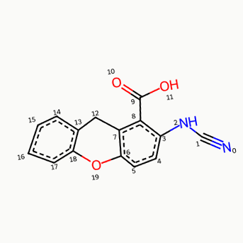 N#CNc1ccc2c(c1C(=O)O)Cc1ccccc1O2